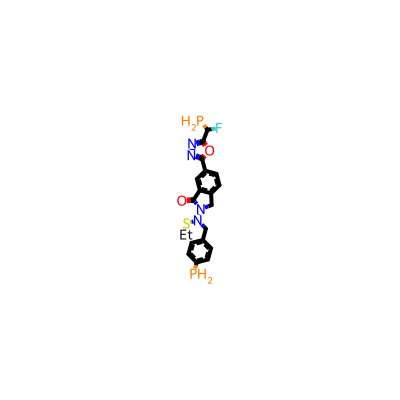 CCSN(Cc1ccc(P)cc1)N1Cc2ccc(-c3nnc(C(F)P)o3)cc2C1=O